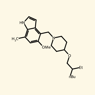 CCCCC(CC)COC1CCN(Cc2c(OC)cc(C)c3[nH]ccc23)CC1